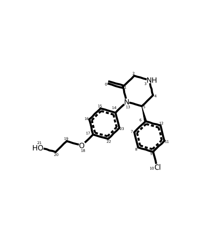 C=C1CNC[C@@H](c2ccc(Cl)cc2)N1c1ccc(OCCO)cc1